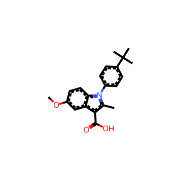 COc1ccc2c(c1)c(C(=O)O)c(C)n2-c1ccc(C(C)(C)C)cc1